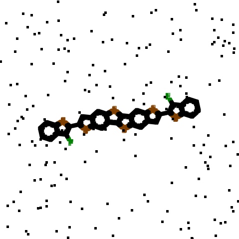 Fc1c(-c2cc3cc4sc5c6cc7sc(-c8sc9ccccc9c8F)cc7cc6sc5c4cc3s2)sc2ccccc12